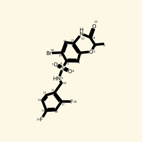 CC1Oc2cc(S(=O)(=O)NCc3ccc(F)cc3F)c(Br)cc2NC1=O